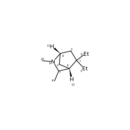 CCC1(CC)C[C@@H]2C[C@H]1C(C)N2C